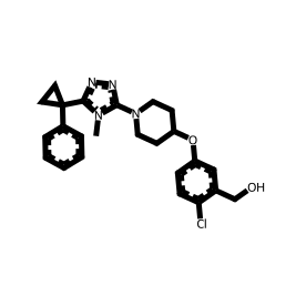 Cn1c(N2CCC(Oc3ccc(Cl)c(CO)c3)CC2)nnc1C1(c2ccccc2)CC1